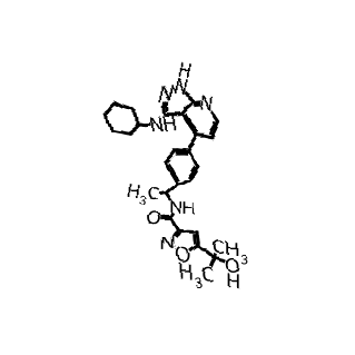 CC(NC(=O)c1cc(C(C)(C)O)on1)c1ccc(-c2ccnc3[nH]nc(NC4CCCCC4)c23)cc1